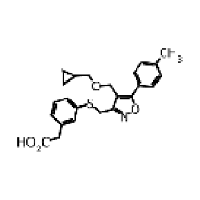 Cc1ccc(-c2onc(CSc3cccc(CC(=O)O)c3)c2COCC2CC2)cc1